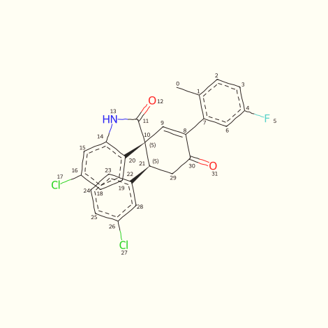 Cc1ccc(F)cc1C1=C[C@@]2(C(=O)Nc3cc(Cl)ccc32)[C@H](c2cccc(Cl)c2)CC1=O